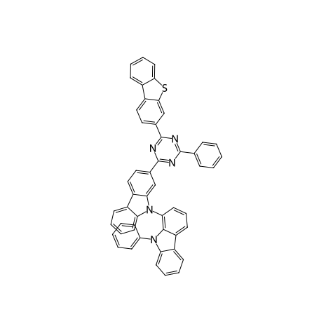 c1ccc(-c2nc(-c3ccc4c(c3)sc3ccccc34)nc(-c3ccc4c5ccccc5n(-c5cccc6c7ccccc7n(-c7ccccc7)c56)c4c3)n2)cc1